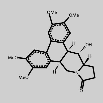 COc1cc2c(cc1OC)[C@H]1[C@H](O)[C@@H]3CCC(=O)N3C[C@H]1c1cc(OC)c(OC)cc1-2